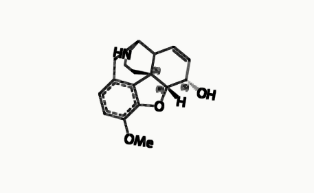 COc1ccc2c3c1O[C@H]1[C@@H](O)C=CC4C(C2)NCC[C@@]341